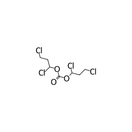 O=C(OC(Cl)CCCl)OC(Cl)CCCl